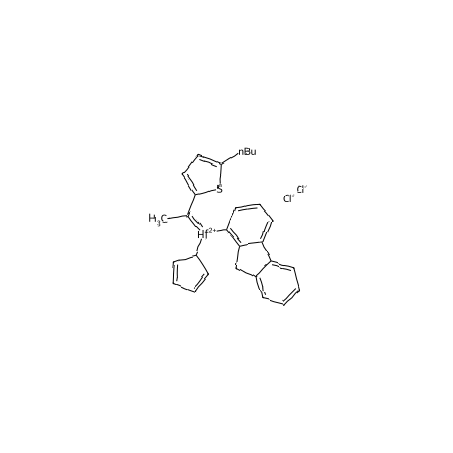 CCCCc1ccc([C](C)=[Hf+2]([c]2cccc3c2Cc2ccccc2-3)[CH]2C=CC=C2)s1.[Cl-].[Cl-]